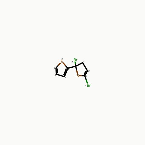 BrC1=CCC(Br)(c2cccs2)S1